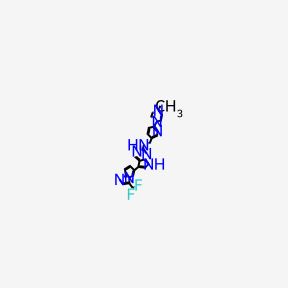 CN1CCN(c2ccc(CNc3ncc4c(-c5ccc6ncc(C(F)F)n6c5)c[nH]c4n3)cn2)CC1